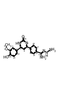 COc1cc(-c2cc(-c3ccc(/C(N)=N/NN)cc3)nc(=O)[nH]2)ccc1O